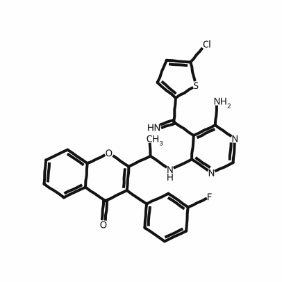 CC(Nc1ncnc(N)c1C(=N)c1ccc(Cl)s1)c1oc2ccccc2c(=O)c1-c1cccc(F)c1